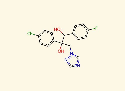 OC(c1ccc(F)cc1)C(O)(Cn1cncn1)c1ccc(Cl)cc1